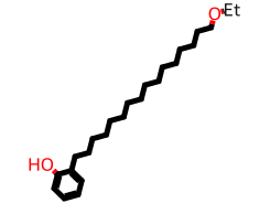 CCOCCCCCCCCCCCCCCCCc1ccccc1O